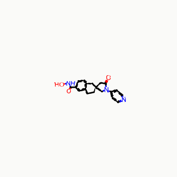 O=C(NO)c1ccc2c(c1)CC[C@]1(CC(=O)N(c3ccncc3)C1)C2